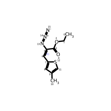 CCOC(=O)/C(=C\c1cc(C)cs1)N=[N+]=[N-]